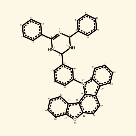 c1ccc(C2=NC(c3ccccc3)NC(c3cccc(-n4c5ccccc5c5ccc6oc7ccccc7c6c54)c3)N2)cc1